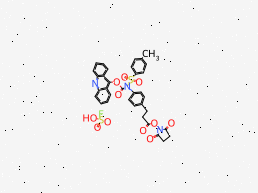 Cc1ccc(S(=O)(=O)N(C(=O)Oc2c3ccccc3nc3ccccc23)c2ccc(CCC(=O)ON3C(=O)CCC3=O)cc2)cc1.O=S(=O)(O)F